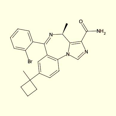 C[C@@H]1N=C(c2ccccc2Br)c2cc(C3(C)CCC3)ccc2-n2cnc(C(N)=O)c21